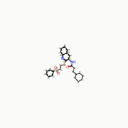 O=C(CCC1CCCCC1)Nc1cc2ccccc2nc1SCCS(=O)(=O)c1ccccc1